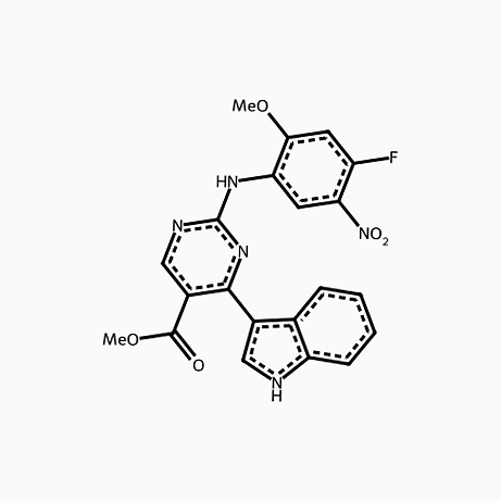 COC(=O)c1cnc(Nc2cc([N+](=O)[O-])c(F)cc2OC)nc1-c1c[nH]c2ccccc12